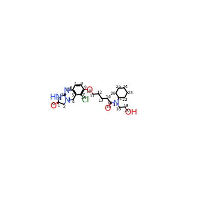 O=C1CN2Cc3c(ccc(OCCCCC(=O)N(CCO)C4CCCCC4)c3Cl)N=C2N1